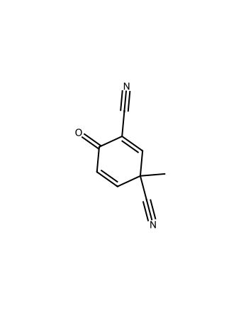 CC1(C#N)C=CC(=O)C(C#N)=C1